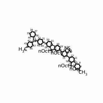 CCCCCCCCC1(CCCCCCCC)c2cc(C)ccc2-c2ccc(-c3ccc(-c4ccc5c(c4)C(CCCCCCCC)(CCCCCCCC)c4cc(-c6ccc(N(c7ccccc7)c7ccc(C)cc7)cc6)ccc4-5)c4nsnc34)cc21